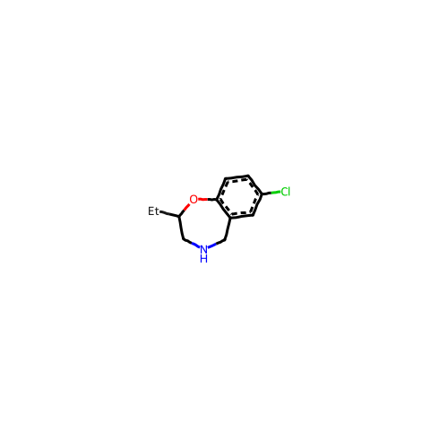 CCC1CNCc2cc(Cl)ccc2O1